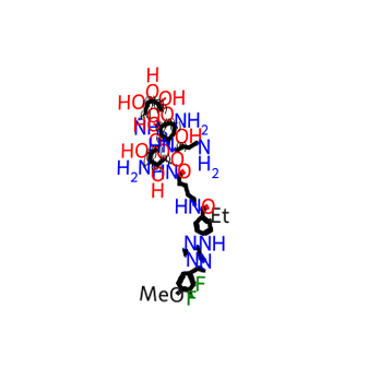 CCc1cc(Nc2nccn3c(-c4ccc(OC)c(F)c4F)cnc23)ccc1C(=O)NCCCCC(=O)NC[C@H]1O[C@H](O[C@H]2C(NC(=O)[C@@H](O)CCN)C[C@H](N)[C@@H](O[C@H]3O[C@H](CN)[C@@H](O)[C@H](O)[C@H]3O)[C@@H]2O)[C@H](O)[C@@H](N)[C@@H]1O